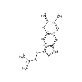 CN(C)CCc1c[nH]c2ccc(CC(=N)S(=O)O)cc12